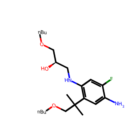 CCCCOC[C@H](O)CNc1cc(F)c(N)cc1C(C)(C)COCCCC